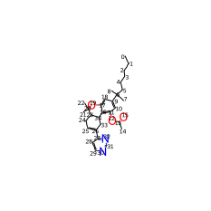 CCCCCCC(C)(C)c1cc(OC(C)=O)c2c(c1)OC(C)(C)C1CC=C(c3ccncn3)CC21